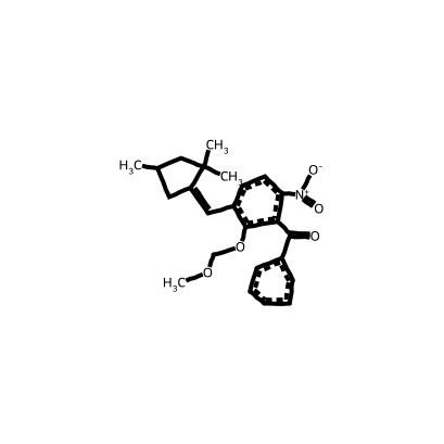 COCOc1c(C=C2CC(C)CC2(C)C)ccc([N+](=O)[O-])c1C(=O)c1ccccc1